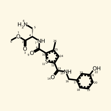 COC(=O)[C@H](CN)NC(=O)c1sc(C(=O)NCc2cccc(O)c2)cc1C